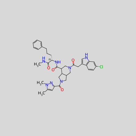 CNC(=O)[C@H](CCCc1ccccc1)NC(=O)C1CN(C(=O)Cc2c[nH]c3cc(Cl)ccc23)CC2CN(C(=O)c3cc(C)n(C)n3)CC21